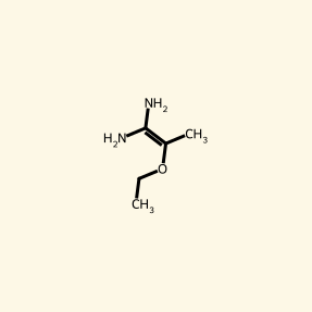 CCOC(C)=C(N)N